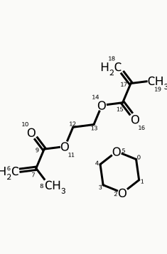 C1COCCO1.C=C(C)C(=O)OCCOC(=O)C(=C)C